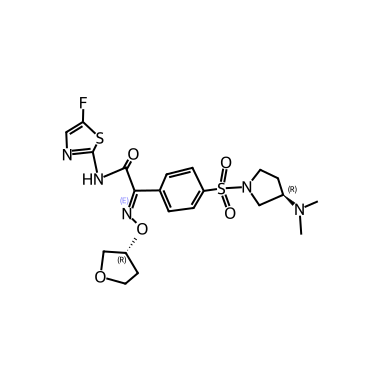 CN(C)[C@@H]1CCN(S(=O)(=O)c2ccc(/C(=N\O[C@@H]3CCOC3)C(=O)Nc3ncc(F)s3)cc2)C1